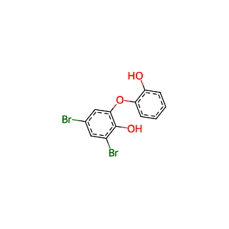 Oc1ccccc1Oc1cc(Br)cc(Br)c1O